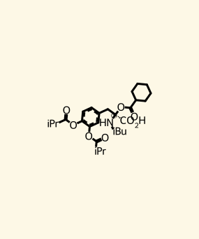 CCC(C)N[C@@](Cc1ccc(OC(=O)C(C)C)c(OC(=O)C(C)C)c1)(OC(=O)C1CCCCC1)C(=O)O